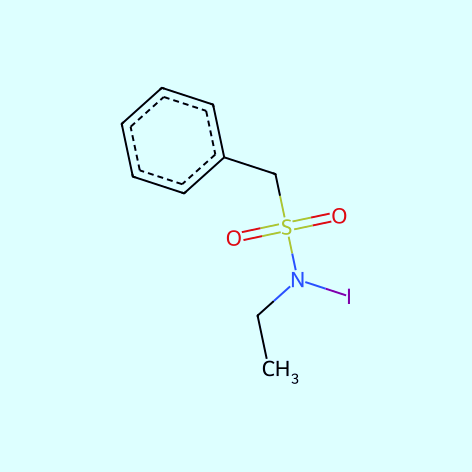 CCN(I)S(=O)(=O)Cc1ccccc1